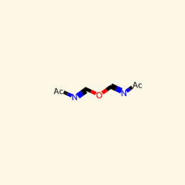 CC(=O)N=COC=NC(C)=O